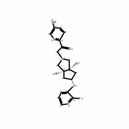 O=C(CN1C[C@H]2C[C@H](Oc3cccnc3F)C[C@H]2C1)c1ccc(O)cn1